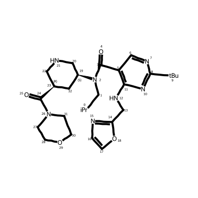 CC(C)CN(C(=O)c1cnc(C(C)(C)C)nc1NCc1ncco1)[C@@H]1CNC[C@H](C(=O)N2CCOCC2)C1